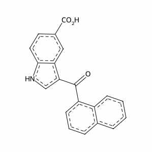 O=C(O)c1ccc2[nH]cc(C(=O)c3cccc4ccccc34)c2c1